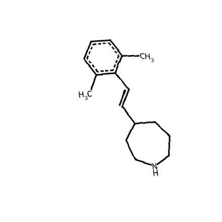 Cc1cccc(C)c1C=CC1CCCNCC1